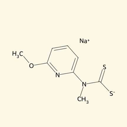 COc1cccc(N(C)C(=S)[S-])n1.[Na+]